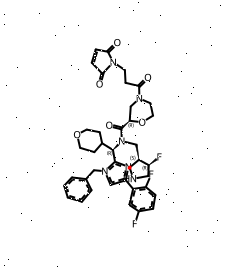 O=C(CCN1C(=O)C=CC1=O)N1CCO[C@@H](C(=O)N(C[C@@H]2CNC[C@@H]2F)[C@@H](c2nc(-c3cc(F)ccc3F)cn2Cc2ccccc2)C2CCOCC2)C1